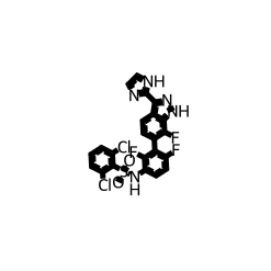 O=S(=O)(Nc1ccc(F)c(-c2ccc3c(-c4ncc[nH]4)n[nH]c3c2F)c1F)c1c(Cl)cccc1Cl